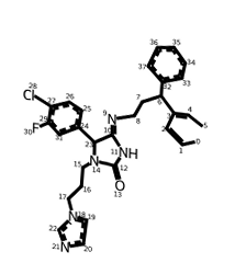 C/C=C\C(=C/C)C(CC/N=C1\NC(=O)N(CCCn2ccnc2)C1c1ccc(Cl)c(F)c1)c1ccccc1